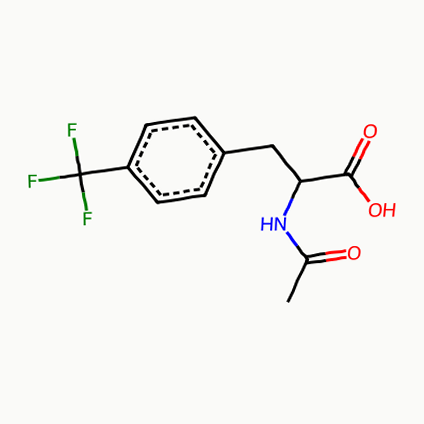 CC(=O)NC(Cc1ccc(C(F)(F)F)cc1)C(=O)O